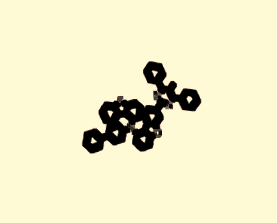 Cc1c(C2=CC=CCC2)nc(-c2ccc3c(c2)oc2cccc(N(c4ccc(-c5ccccc5)cc4)c4cccc5sc6ccccc6c45)c23)nc1-c1ccccc1